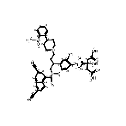 CN(CC(CCN1CCC(c2ccccc2[S@+](C)[O-])CC1)c1ccc(Cl)c(Cl)c1)C(=O)c1cc(C#N)cc2cc(C#N)ccc12.O=C(O)CC(O)(CC(=O)O)C(=O)O